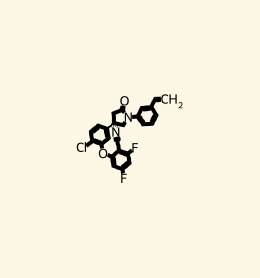 C=Cc1cccc(N2C[C@@H](c3ccc(Cl)c(Oc4cc(F)cc(F)c4C#N)c3)CC2=O)c1